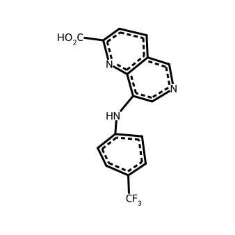 O=C(O)c1ccc2cncc(Nc3ccc(C(F)(F)F)cc3)c2n1